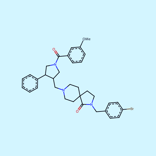 COc1cccc(C(=O)N2CC(CN3CCC4(CC3)CCN(Cc3ccc(Br)cc3)C4=O)C(c3ccccc3)C2)c1